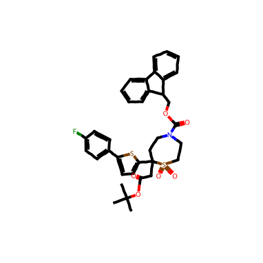 CC(C)(C)OC(=O)CC1(c2ccc(-c3ccc(F)cc3)s2)CCN(C(=O)OCC2c3ccccc3-c3ccccc32)CCS1(=O)=O